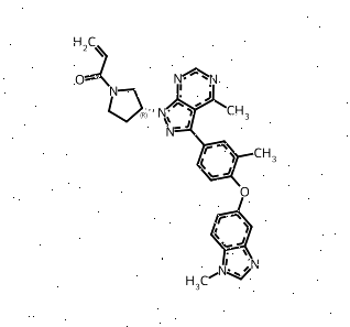 C=CC(=O)N1CC[C@@H](n2nc(-c3ccc(Oc4ccc5c(c4)ncn5C)c(C)c3)c3c(C)ncnc32)C1